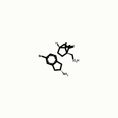 CC1(C)[C@@H]2CC[C@@]1(CS(=O)(=O)O)C(=O)C2.N[C@H]1Cc2ccc(Br)cc2C1